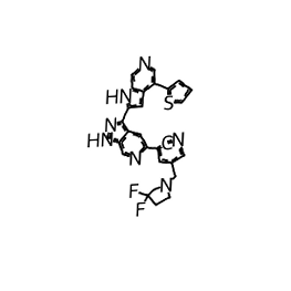 FC1(F)CCN(Cc2cncc(-c3cc4c(-c5cc6c(-c7cccs7)cncc6[nH]5)n[nH]c4cn3)c2)C1